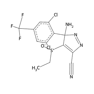 CC[S+]([O-])C1=C(C#N)N=NC1(N)c1c(Cl)cc(C(F)(F)F)cc1Cl